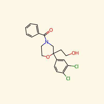 O=C(c1ccccc1)N1CCOC(CCO)(c2ccc(Cl)c(Cl)c2)C1